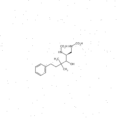 CC(C)(CCc1ccccc1)C(O)[C@H](CNC(=O)O)NC(=O)O